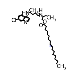 CCCCCCCC/C=C/CCCCCCCC(=O)OCC(CC)NCCCC(C)Nc1ccnc2cc(Cl)ccc12